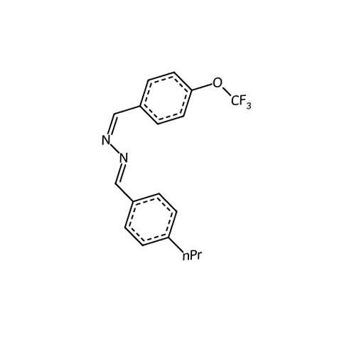 CCCc1ccc(/C=N/N=C\c2ccc(OC(F)(F)F)cc2)cc1